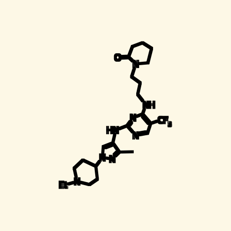 CCN1CCC(n2cc(Nc3ncc(C(F)(F)F)c(NCCCN4CCCCC4=O)n3)c(C)n2)CC1